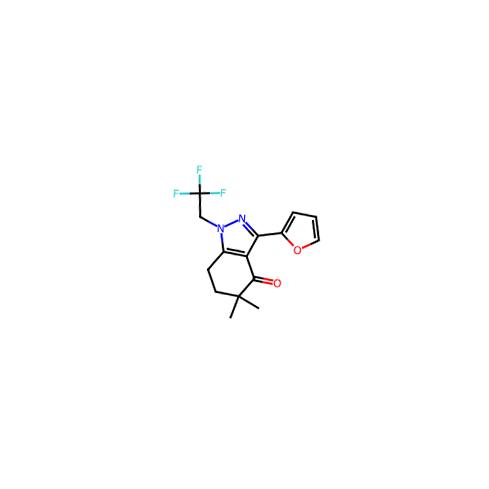 CC1(C)CCc2c(c(-c3ccco3)nn2CC(F)(F)F)C1=O